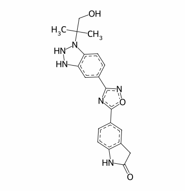 CC(C)(CO)N1NNc2cc(-c3noc(-c4ccc5c(c4)CC(=O)N5)n3)ccc21